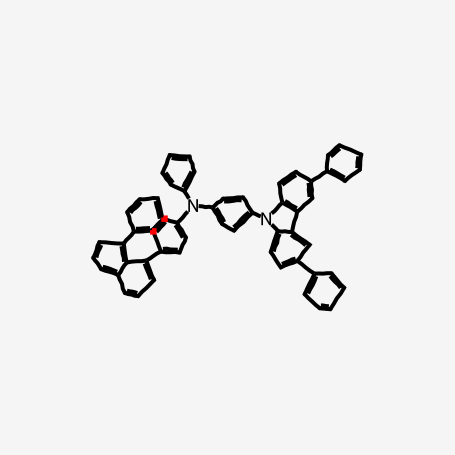 c1ccc(-c2ccc3c(c2)c2cc(-c4ccccc4)ccc2n3-c2ccc(N(c3ccccc3)c3ccc(-c4cccc5cccc(-c6ccccc6)c45)cc3)cc2)cc1